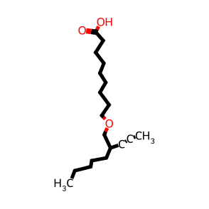 CCCCCC(CCC)COCCCCCCCCC(=O)O